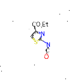 CCOC(=O)c1csc(N=C=O)n1